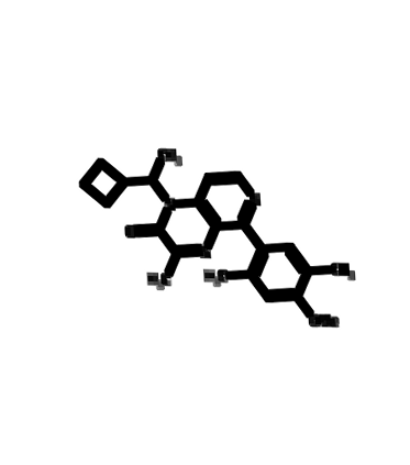 COc1cc(C)c(-c2nccc3c2nc(C)c(=O)n3C(C)C2CCC2)cc1C